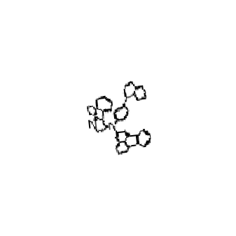 C1=CC2c3cccc4cc(N(c5ccc(-c6cccc7ccccc67)cc5)c5ccnc6oc7ccccc7c56)cc(c34)C2C=C1